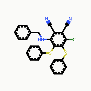 N#Cc1c(Cl)c(Sc2ccccc2)c(Sc2ccccc2)c(NCc2ccccc2)c1C#N